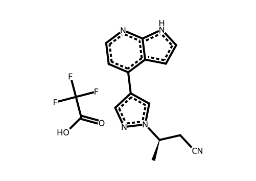 C[C@H](CC#N)n1cc(-c2ccnc3[nH]ccc23)cn1.O=C(O)C(F)(F)F